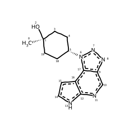 C[C@]1(O)CC[C@H](n2nnc3cnc4[nH]ccc4c32)CC1